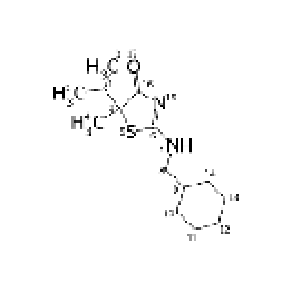 CC(C)C1(C)SC(NCC2CCCCC2)=NC1=O